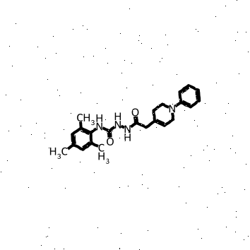 Cc1cc(C)c(NC(=O)NNC(=O)CC2=CCN(c3ccccc3)CC2)c(C)c1